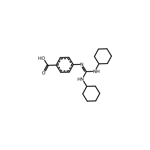 O=C(O)c1ccc(N=C(NC2CCCCC2)NC2CCCCC2)cc1